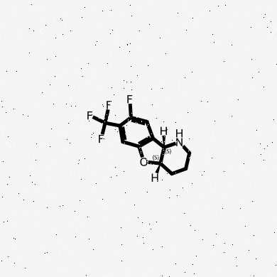 Fc1cc2c(cc1C(F)(F)F)O[C@H]1CCCN[C@@H]21